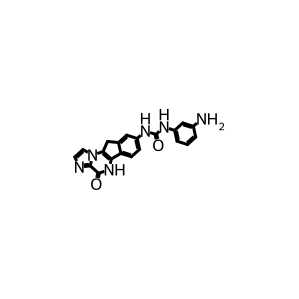 Nc1cccc(NC(=O)Nc2ccc3c(c2)Cc2c-3[nH]c(=O)c3nccn23)c1